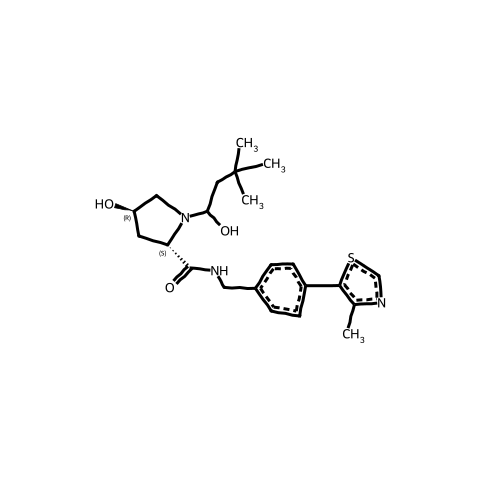 Cc1ncsc1-c1ccc(CNC(=O)[C@@H]2C[C@@H](O)CN2C(O)CC(C)(C)C)cc1